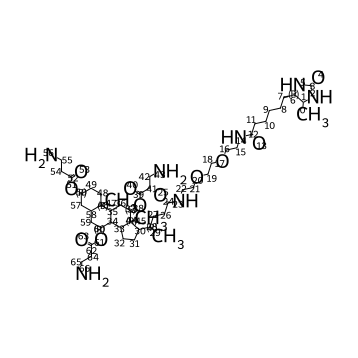 CC1NC(=O)N[C@@H]1CCCCCC(=O)NCCOCCOCCNC(=O)CC[C@@H](C)C1CCC2C3C(C[C@H](OC(=O)CCN)[C@@]21C)[C@@]1(C)CC[C@@H](OC(=O)CCN)CC1C[C@H]3OC(=O)CCN